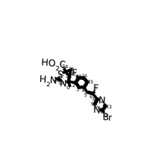 CC1(c2cc(/C=C(\F)c3cnc(Br)cn3)ccc2F)N=C(N)SC2(C(=O)O)CC21